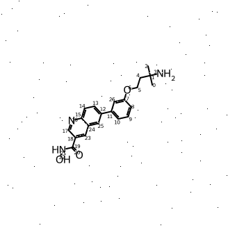 CC(C)(N)CCOc1cccc(-c2ccc3ncc(C(=O)NO)cc3c2)c1